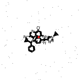 [2H]C(Nc1cc(Cl)c2ncc(C#N)c(NC(c3ccccc3)C3CC3)c2c1)(c1ccc(F)cc1)c1cn(C2CC2)nn1